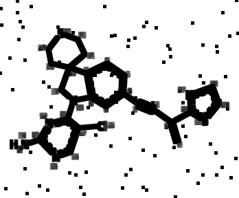 C=C(C#Cc1ccc2c(c1)N(c1nc(N)ncc1Cl)CC21CCSCC1)c1nccs1